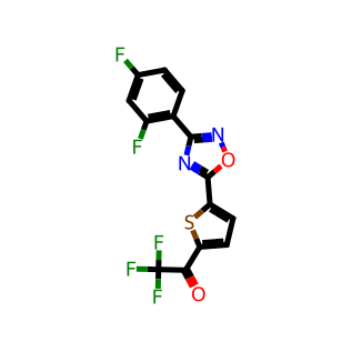 O=C(c1ccc(-c2nc(-c3ccc(F)cc3F)no2)s1)C(F)(F)F